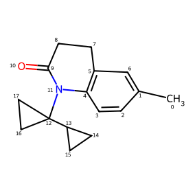 Cc1ccc2c(c1)CCC(=O)N2C1(C2CC2)CC1